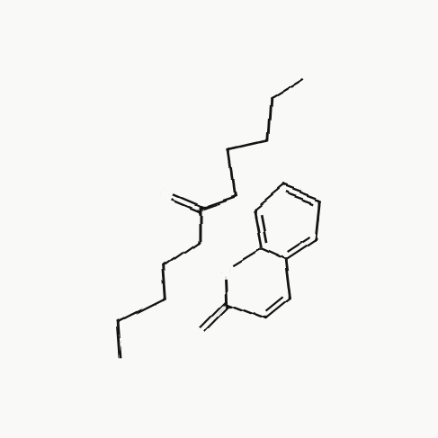 CCCCCC(=O)CCCCC.O=c1ccc2ccccc2o1